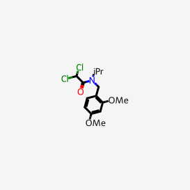 COc1ccc(CN(C(=O)C(Cl)Cl)C(C)C)c(OC)c1